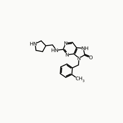 Cc1ccccc1Cn1c(=O)[nH]c2cnc(NCC3CCNC3)nc21